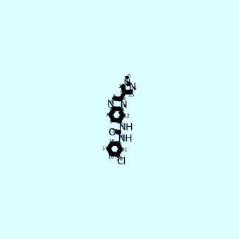 Cn1cc(-c2cnc3ccc(NC(=O)Nc4cccc(Cl)c4)cc3n2)cn1